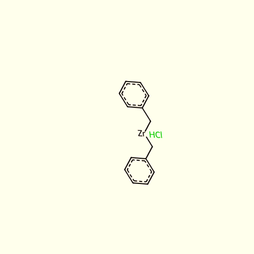 Cl.c1ccc([CH2][Zr][CH2]c2ccccc2)cc1